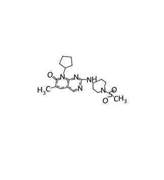 Cc1cc2cnc(NC3CCN(S(C)(=O)=O)CC3)nc2n(C2CCCC2)c1=O